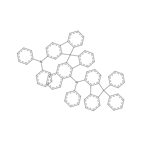 c1ccc(N(c2ccccc2)c2ccc3c(c2)C2(c4ccccc4-3)c3ccccc3-c3c2cc2ccccc2c3N(c2ccccc2)c2cccc3c2-c2ccccc2C3(c2ccccc2)c2ccccc2)cc1